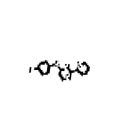 Fc1ccc(Sc2ccnc(-c3ccccn3)n2)cc1